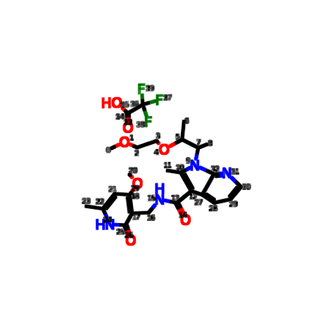 COCCOC(C)C(C)n1c(C)c(C(=O)NCc2c(OC)cc(C)[nH]c2=O)c2cccnc21.O=C(O)C(F)(F)F